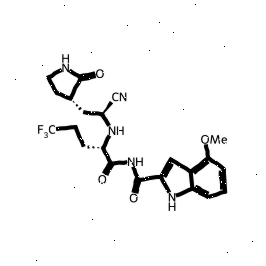 COc1cccc2[nH]c(C(=O)NC(=O)[C@H](CCC(F)(F)F)N[C@H](C#N)C[C@@H]3CCNC3=O)cc12